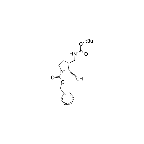 C#C[C@@H]1[C@H](CNC(=O)OC(C)(C)C)CCN1C(=O)OCc1ccccc1